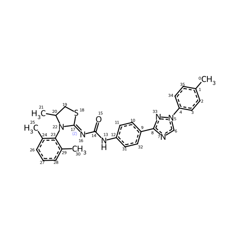 Cc1ccc(-n2cnc(-c3ccc(NC(=O)/N=C4\SCC(C)N4c4c(C)cccc4C)cc3)n2)cc1